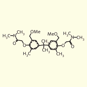 COCc1cc(C(C)(C)c2cc(C)c(OCC(=O)N(C)C)c(COC)c2)cc(C)c1OCC(=O)N(C)C